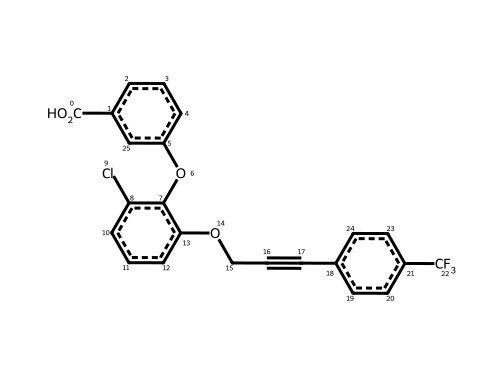 O=C(O)c1cccc(Oc2c(Cl)cccc2OCC#Cc2ccc(C(F)(F)F)cc2)c1